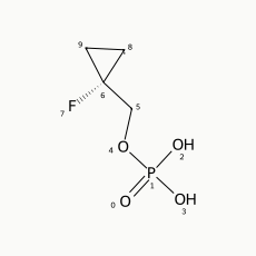 O=P(O)(O)OC[C@]1(F)[CH]C1